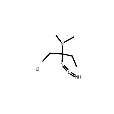 CCC(CC)(N=C=N)N(C)C.Cl